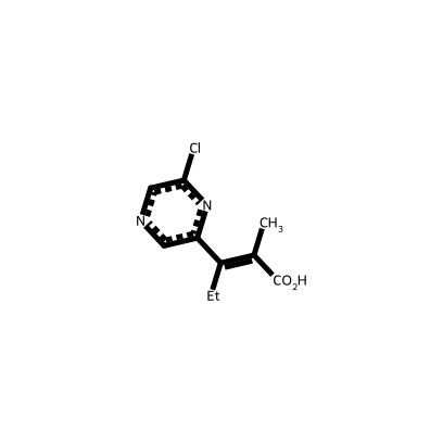 CCC(=C(C)C(=O)O)c1cncc(Cl)n1